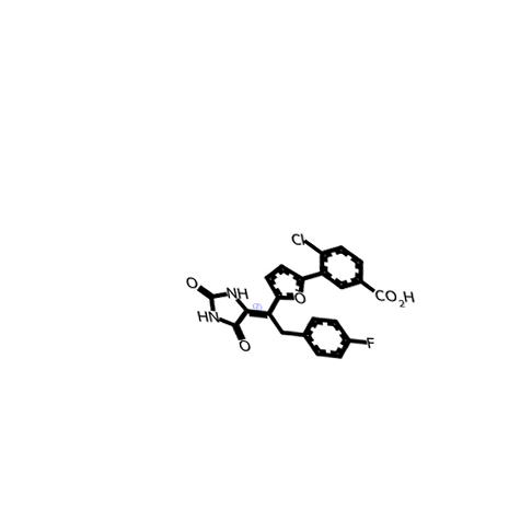 O=C1NC(=O)/C(=C(\Cc2ccc(F)cc2)c2ccc(-c3cc(C(=O)O)ccc3Cl)o2)N1